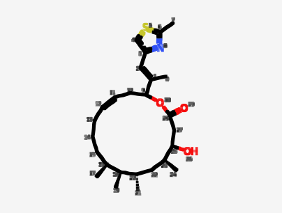 C/C(=C\c1csc(C)n1)C1C/C=C\CCC[C@H](C)[C@H](C)[C@@H](C)C[C@H](C)C(O)CC(=O)O1